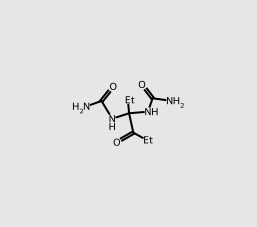 CCC(=O)C(CC)(NC(N)=O)NC(N)=O